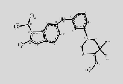 COC1CCN(c2nccc(Nc3cc4c(cn3)nc(C)n4C(C)C)n2)CC1(F)F